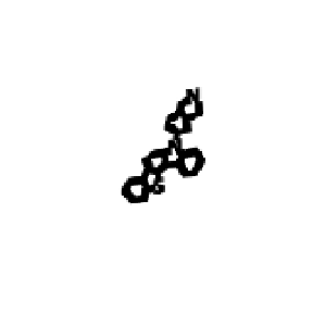 c1ccc2c(c1)sc1c2ccc2c1c1ccccc1n2-c1ccc2cnccc2c1